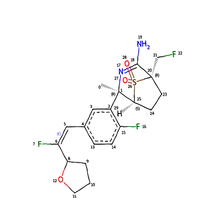 C[C@]1(c2cc(/C=C(/F)C3CCCO3)ccc2F)N=C(N)[C@@]2(CF)CC[C@@H]1S2(=O)=O